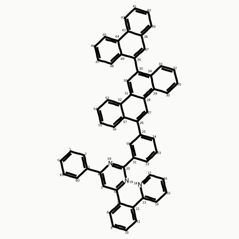 c1ccc(-c2cc(-c3ccccc3-c3ccccn3)nc(-c3cccc(-c4cc5c6ccccc6c(-c6cc7ccccc7c7ccccc67)cc5c5ccccc45)c3)n2)cc1